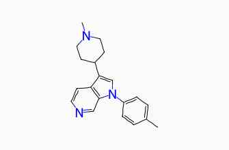 Cc1ccc(-n2cc(C3CCN(C)CC3)c3ccncc32)cc1